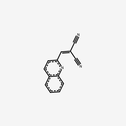 N#CC(C#N)=Cc1ccc2ccccc2n1